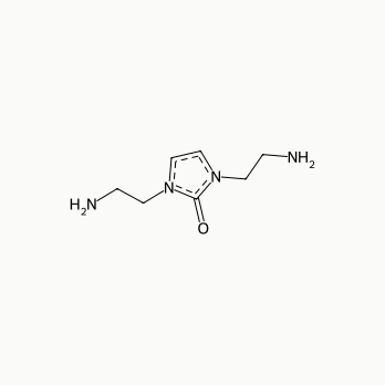 NCCn1ccn(CCN)c1=O